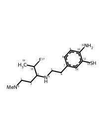 CNCCC(NCCc1ccc(N)c(S)c1)C(C)F